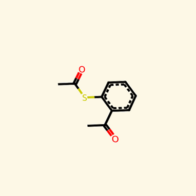 CC(=O)Sc1ccccc1C(C)=O